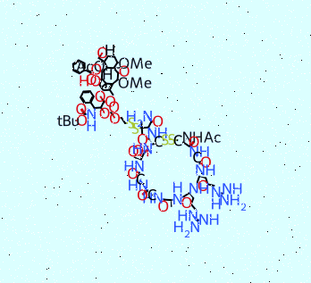 CO[C@@H]1C(=O)[C@@]2(C)[C@H](OC)C[C@@H]3OC[C@]3(OC(C)=O)[C@@H]2[C@@H](OC(=O)c2ccccc2)[C@@]2(O)CC(OC(=O)C(OC(=O)OCCSSC(C)(C)[C@H](NC(=O)[C@@H]3CSSC[C@H](NC(C)=O)C(=O)NCC(=O)N[C@@H](CCCNC(=N)N)C(=O)N[C@@H](CCCNC(=N)N)C(=O)N[C@@H](C)C(=O)NCC(=O)NCC(=O)N[C@@H](CO)C(=O)N3)C(N)=O)[C@H](NC(=O)OC(C)(C)C)c3ccccc3)C(C)=C1C2(C)C